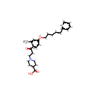 Cc1cc(OCCCCCc2ccccc2)ccc1C(=O)CCN1CCC(C(=O)O)CC1